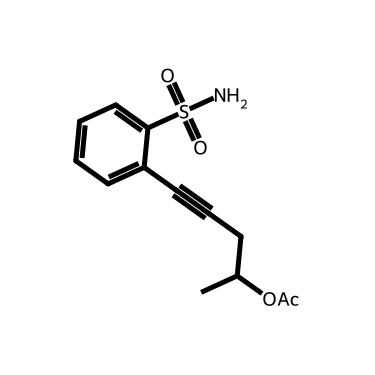 CC(=O)OC(C)CC#Cc1ccccc1S(N)(=O)=O